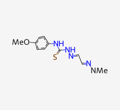 CN/N=C/C=N/NC(=S)Nc1ccc(OC)cc1